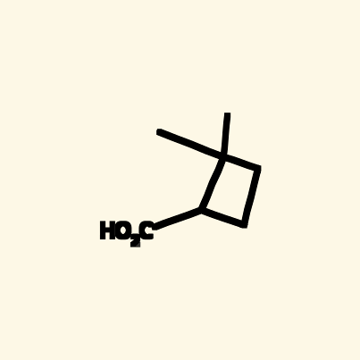 CC1(C)CCC1C(=O)O